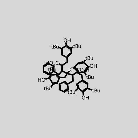 CC(C)(C)c1cc(CC(C(=O)O)C(Cc2ccccc2)C(Cc2cc(C(C)(C)C)c(O)c(C(C)(C)C)c2)(Cc2cc(C(C)(C)C)c(O)c(C(C)(C)C)c2)C(Cc2ccccc2)C(Cc2cc(C(C)(C)C)c(O)c(C(C)(C)C)c2)C(=O)O)cc(C(C)(C)C)c1O